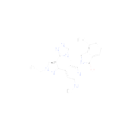 CCNc1cc(-c2nn(CC(C)C)cc2-c2nncn2C)cc(N2Cc3c(cccc3C(F)(F)F)C2=O)n1